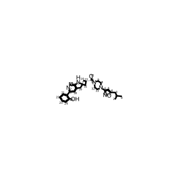 CC(C)Cc1cc(N2CCN(C(=O)[C@H]3C[C@@]4(Cc5cc(-c6ccccc6O)nnc5N4)C3)CC2)no1